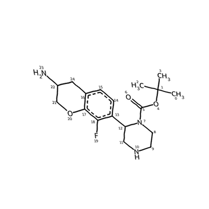 CC(C)(C)OC(=O)N1CCNCC1c1ccc2c(c1F)OCC(N)C2